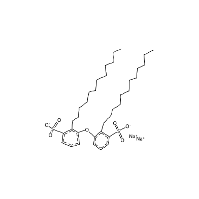 CCCCCCCCCCCCc1c(Oc2cccc(S(=O)(=O)[O-])c2CCCCCCCCCCCC)cccc1S(=O)(=O)[O-].[Na+].[Na+]